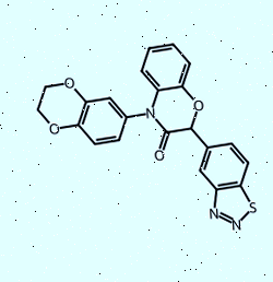 O=C1C(c2ccc3snnc3c2)Oc2cc[c]cc2N1c1ccc2c(c1)OCCO2